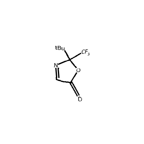 CC(C)(C)C1(C(F)(F)F)N=CC(=O)O1